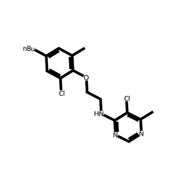 CCCCc1cc(C)c(OCCNc2ncnc(C)c2Cl)c(Cl)c1